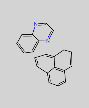 C1=Cc2cccc3cccc(c23)C1.c1ccc2nccnc2c1